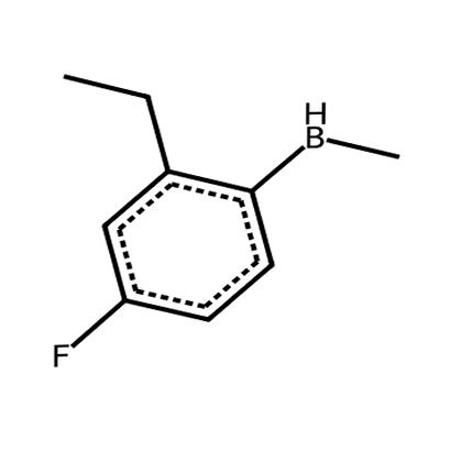 CBc1ccc(F)cc1CC